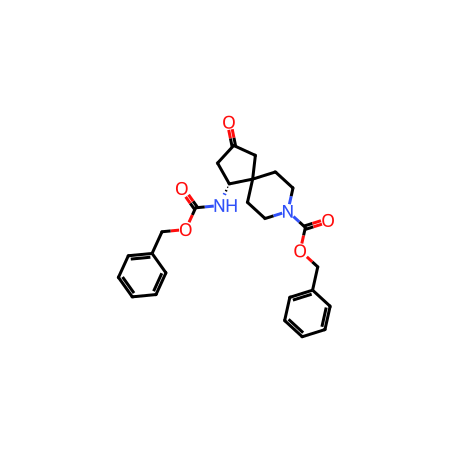 O=C1C[C@@H](NC(=O)OCc2ccccc2)C2(CCN(C(=O)OCc3ccccc3)CC2)C1